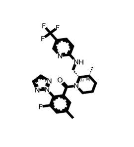 Cc1cc(F)c(-n2nccn2)c(C(=O)N2CCC[C@@H](C)[C@H]2CNc2ccc(C(F)(F)F)cn2)c1